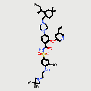 C=Cc1cncc(Oc2cc(N3CCN(CC4=C(C(=C)CC(C)C)CC(C)(C)CC4)CC3)ccc2C(=O)NS(=O)(=O)c2ccc(NCCN3CC(CCC)(CCC)C3)c(N=O)c2)c1